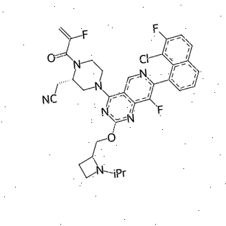 C=C(F)C(=O)N1CCN(c2nc(OCC3CCN3C(C)C)nc3c(F)c(-c4cccc5ccc(F)c(Cl)c45)ncc23)C[C@@H]1CC#N